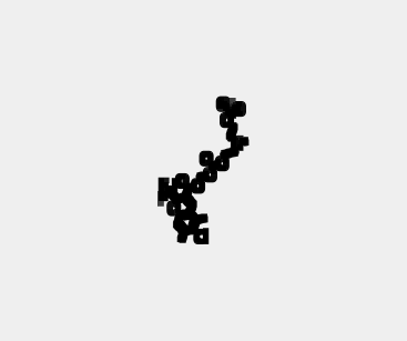 Cc1cc2c(c(C)c1Cl)C=C(C(=O)OCOC(=O)OCCN(C)CCO[N+](=O)[O-])C(C(F)(F)F)O2